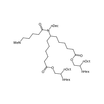 CCCCCCCCCCN(C(=O)CCCCNC)C(CCCCCC(=O)OCC(CCCCCC)CCCCCCCC)CCCCCC(=O)OCC(CCCCCC)CCCCCCCC